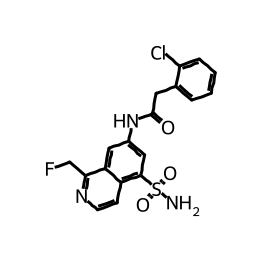 NS(=O)(=O)c1cc(NC(=O)Cc2ccccc2Cl)cc2c(CF)nccc12